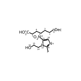 CCCCCCCCCCCCCCCC(=O)O.Cc1ncc([N+](=O)[O-])n1CCO